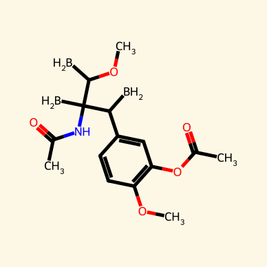 BC(OC)C(B)(NC(C)=O)C(B)c1ccc(OC)c(OC(C)=O)c1